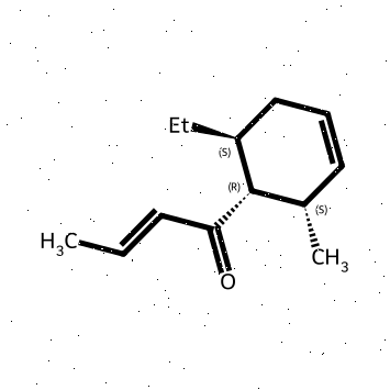 CC=CC(=O)[C@@H]1[C@@H](CC)CC=C[C@@H]1C